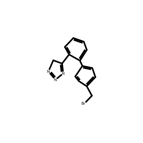 BrCc1ccc(-c2ccccc2C2=NN=NC2)cc1